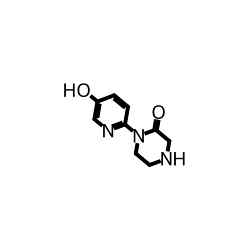 O=C1CNCCN1c1ccc(O)cn1